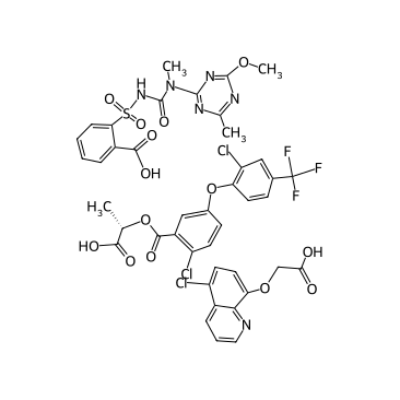 COc1nc(C)nc(N(C)C(=O)NS(=O)(=O)c2ccccc2C(=O)O)n1.C[C@H](OC(=O)c1cc(Oc2ccc(C(F)(F)F)cc2Cl)ccc1Cl)C(=O)O.O=C(O)COc1ccc(Cl)c2cccnc12